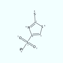 CC(C)S(=O)(=O)c1csc([S])n1